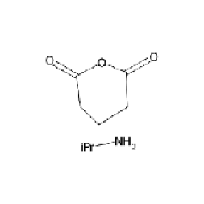 CC(C)N.O=C1CCCC(=O)O1